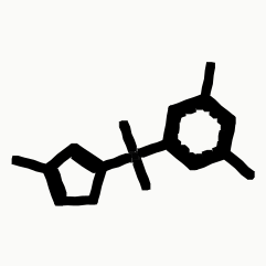 CC1=CCC([Si](C)(C)c2cc(C)cc(C)c2)=C1